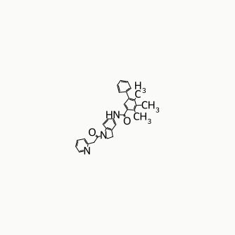 Cc1c(C(=O)Nc2ccc3c(c2)CCN3C(=O)Cc2ccccn2)cc(-c2ccccc2)c(C)c1C